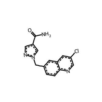 NC(=O)c1cnn(Cc2ccc3ncc(Cl)cc3c2)c1